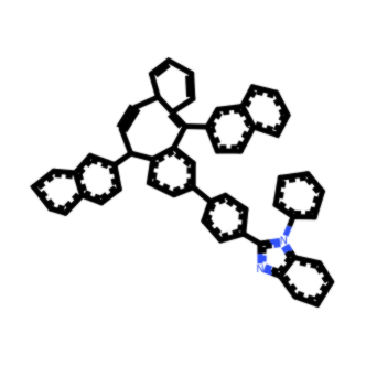 C1#CC(c2ccc3ccccc3c2)c2ccc(-c3ccc(-c4nc5ccccc5n4-c4ccccc4)cc3)cc2/C(c2ccc3ccccc3c2)=C2/C=CC=CC12